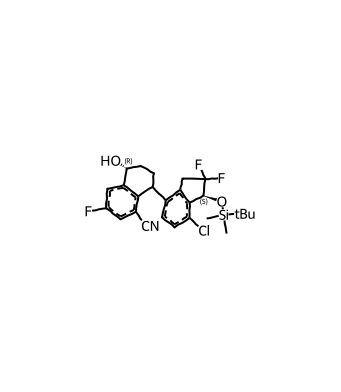 CC(C)(C)[Si](C)(C)O[C@H]1c2c(Cl)ccc(C3CC[C@@H](O)c4cc(F)cc(C#N)c43)c2CC1(F)F